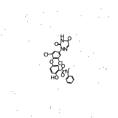 CN(c1ccccc1)S(=O)(=O)c1cc(Oc2c(Cl)cc(-n3ncc(=O)[nH]c3=O)cc2Cl)ccc1O